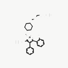 Cc1c(-c2ccccc2)c(-c2ccccc2F)nn1C[C@H]1CC[C@@H](COCC(=O)O)CC1